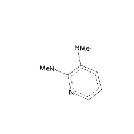 C[N]c1cccnc1NC